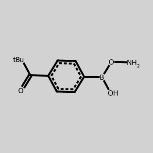 CC(C)(C)C(=O)c1ccc(B(O)ON)cc1